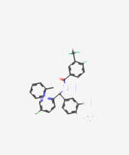 COc1ccc([C@](Cc2ccccc2)(NC(=O)c2ccc(F)c(C(C)(F)F)c2)c2ccc(Cl)cn2)cc1C(F)(F)F